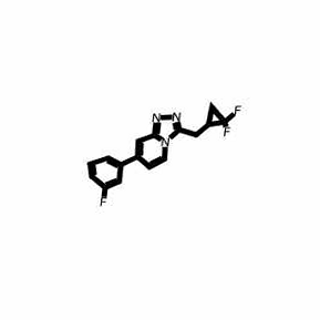 Fc1cccc(-c2ccn3c(CC4CC4(F)F)nnc3c2)c1